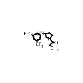 C=CC(=O)N1CCC(Nc2cc(C(F)(F)F)cc(C(F)(F)F)c2)C1